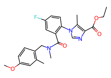 CCOC(=O)c1ncn(-c2ccc(F)cc2C(=O)N(C)Cc2ccc(OC)cc2C)c1C